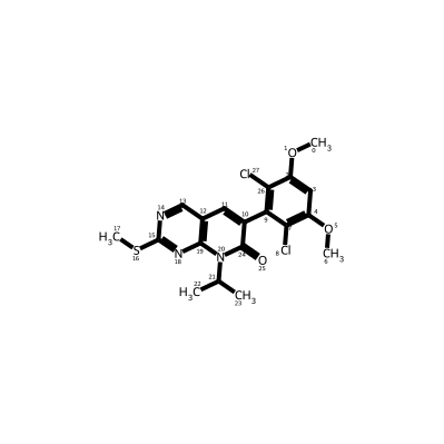 COc1cc(OC)c(Cl)c(-c2cc3cnc(SC)nc3n(C(C)C)c2=O)c1Cl